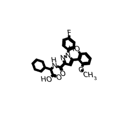 COc1cccc(O)c1-c1cc(C(=O)NC(C(=O)O)C2CCCCC2)nn1-c1ccc(F)cc1